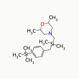 CC1CN(C[Si](C)(C)Cc2ccc([Si](C)(C)C)cc2)CC(C)O1